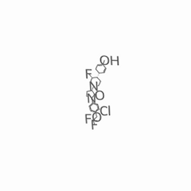 O=C1[C@H](N2CC[C@@H](C3C=CC(O)=CC3)[C@H](F)C2)CCN1c1ccc(OC(F)F)c(Cl)c1